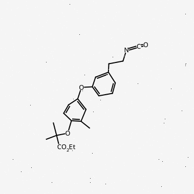 CCOC(=O)C(C)(C)Oc1ccc(Oc2cccc(CCN=C=O)c2)cc1C